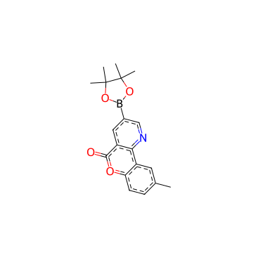 Cc1ccc2oc(=O)c3cc(B4OC(C)(C)C(C)(C)O4)cnc3c2c1